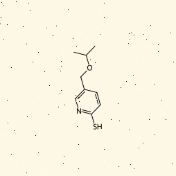 CC(C)OCc1ccc(S)nc1